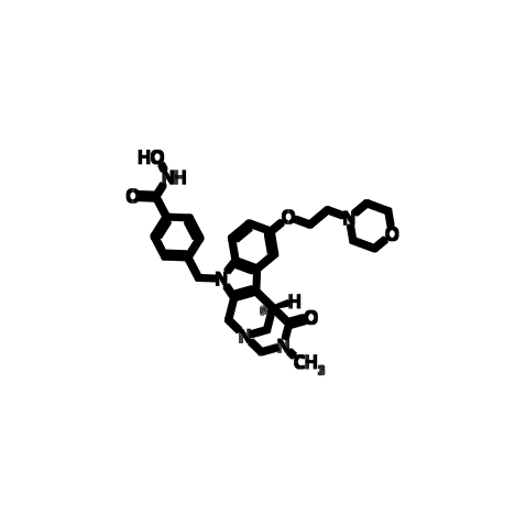 CN1CN2Cc3c(c4cc(OCCN5CCOCC5)ccc4n3Cc3ccc(C(=O)NO)cc3)[C@@H](C2)C1=O